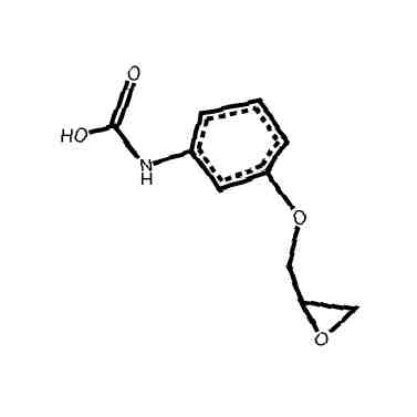 O=C(O)Nc1cccc(OCC2CO2)c1